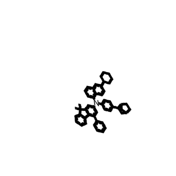 CC1(C)c2ccccc2-c2c(-c3ccccc3)cc(N(c3ccc(C4CC5CCC4C5)cc3)c3cccc4cc(C5CCCCC5)ccc34)cc21